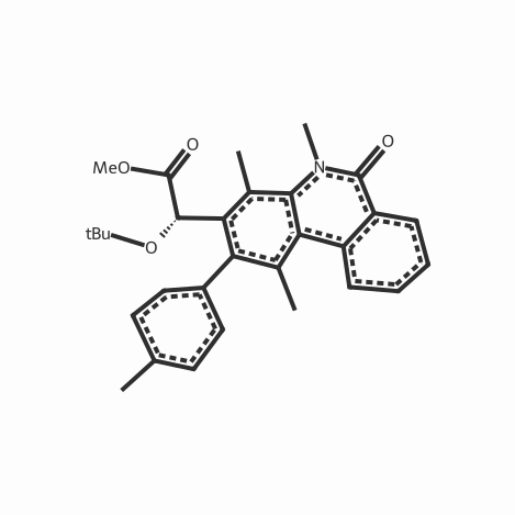 COC(=O)[C@@H](OC(C)(C)C)c1c(-c2ccc(C)cc2)c(C)c2c3ccccc3c(=O)n(C)c2c1C